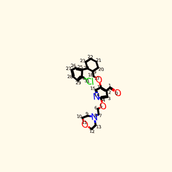 O=Cc1cc(OCCN2CCOCC2)ncc1OCC1CCCCC1c1ccccc1Cl